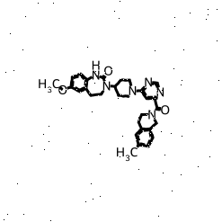 COc1ccc2c(c1)CCN(C1CCN(c3cc(C(=O)N4CCc5cc(C)ccc5C4)ncn3)CC1)C(=O)N2